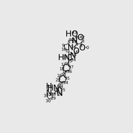 CO[C@H](C)[C@@H](C(=O)N1CCC[C@H]1c1ncc(-c2ccc(-c3ccc(-c4cnc([C@@H]5CCCN5)[nH]4)cc3)cc2)[nH]1)N(C)C(=O)O